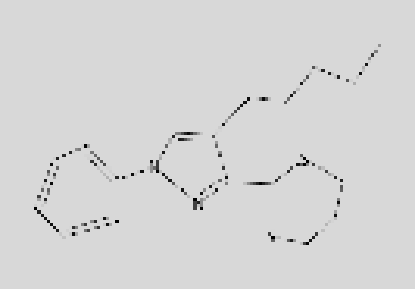 CCCCCc1cn(-c2ccccc2)nc1C1SCCCS1